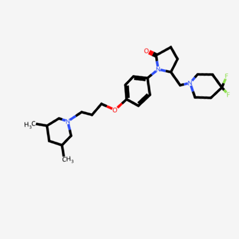 CC1CC(C)CN(CCCOc2ccc(N3C(=O)CCC3CN3CCC(F)(F)CC3)cc2)C1